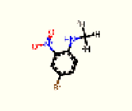 [2H]C([2H])([2H])Nc1ccc(Br)cc1[N+](=O)[O-]